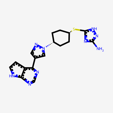 Nc1n[nH]c(S[C@H]2CC[C@@H](n3cc(-c4ncnc5[nH]ccc45)cn3)CC2)n1